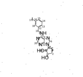 OC1CS[C@@H](n2cnc3c(NCc4cccc(I)c4)ncnc32)[C@H]1O